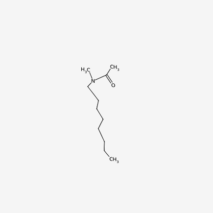 CCCCCCCCN(C)C(C)=O